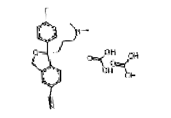 CN(C)CCC[C@@]1(c2ccc(F)cc2)OCc2cc(C#N)ccc21.O=C(O)O.O=C(O)O